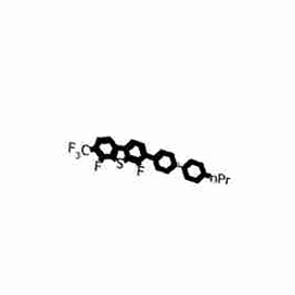 CCCC1CCC([C@H]2CC=C(c3ccc4c(sc5c(F)c(C(F)(F)F)ccc54)c3F)CC2)CC1